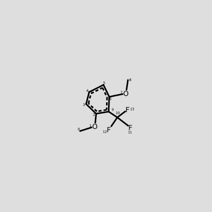 COc1c[c]cc(OC)c1C(F)(F)F